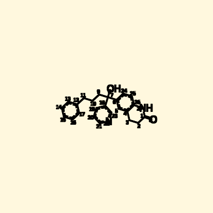 O=C1CCc2cc(C(O)(CCCc3ccccc3)c3cccnc3)ccc2N1